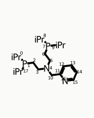 CC(C)P(CCN(CCP(C(C)C)C(C)C)Cc1ccccn1)C(C)C